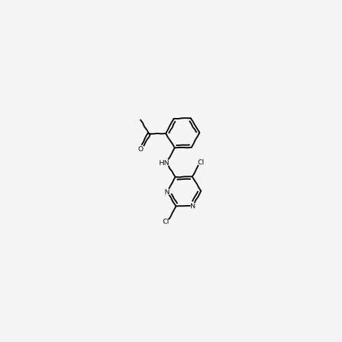 CC(=O)c1ccccc1Nc1nc(Cl)ncc1Cl